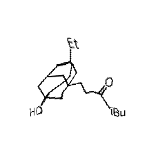 CCC(C)C(=O)CCC12CC3CC(O)(CC(CC)(C3)C1)C2